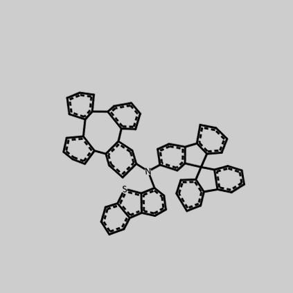 c1ccc2c(c1)-c1ccccc1-c1ccc(N(c3ccc4c(c3)C3(c5ccccc5-c5ccccc53)c3ccccc3-4)c3cccc4c3sc3ccccc34)cc1-c1ccccc1-2